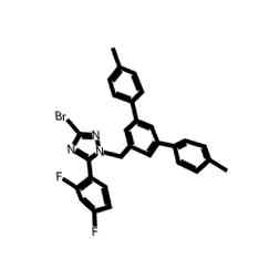 Cc1ccc(-c2cc(Cn3nc(Br)nc3-c3ccc(F)cc3F)cc(-c3ccc(C)cc3)c2)cc1